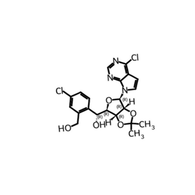 CC1(C)O[C@H]2[C@@H](O1)[C@H](n1ccc3c(Cl)ncnc31)O[C@@H]2[C@H](O)c1ccc(Cl)cc1CO